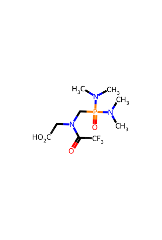 CN(C)P(=O)(CN(CC(=O)O)C(=O)C(F)(F)F)N(C)C